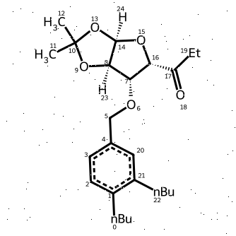 CCCCc1ccc(CO[C@@H]2[C@H]3OC(C)(C)O[C@H]3O[C@@H]2C(=O)CC)cc1CCCC